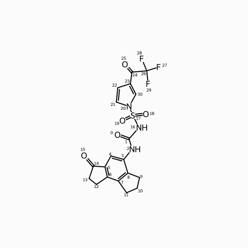 O=C(Nc1cc2c(c3c1CCC3)CCC2=O)NS(=O)(=O)n1ccc(C(=O)C(F)(F)F)c1